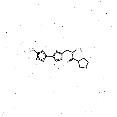 CN(Cc1ccc(-c2noc(C(F)(F)F)n2)s1)C(=O)C1CCOC1